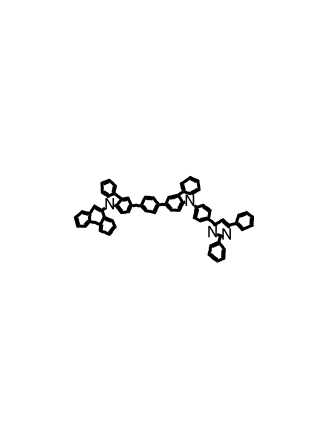 c1ccc(-c2cc(-c3ccc(-n4c5ccccc5c5cc(-c6ccc(-c7ccc8c(c7)c7ccccc7n8-c7cc8ccccc8c8ccccc78)cc6)ccc54)cc3)nc(-c3ccccc3)n2)cc1